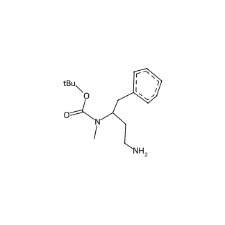 CN(C(=O)OC(C)(C)C)C(CCN)Cc1ccccc1